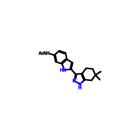 CC(=O)Nc1ccc2cc(-c3n[nH]c4c3CCC(C)(C)C4)[nH]c2c1